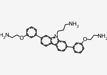 NCCCn1c2cc(-c3cccc(OCCN)c3)ccc2c2ccc(-c3cccc(OCCN)c3)cc21